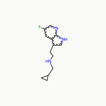 Fc1cnc2[nH]cc(CCNCC3CC3)c2c1